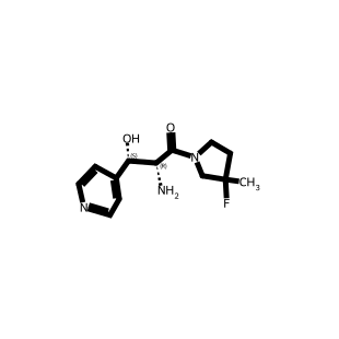 CC1(F)CCN(C(=O)[C@H](N)[C@@H](O)c2ccncc2)C1